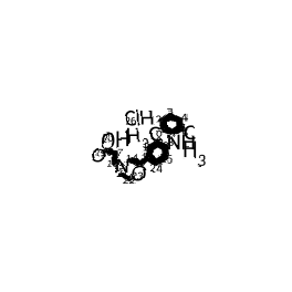 Cc1cccc(C)c1Nc1ccc(C2CN(CCC(=O)O)CCO2)cc1.Cl